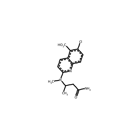 CC(CC(N)=O)N(C)c1ccc2c(C(=O)O)c(Cl)ccc2n1